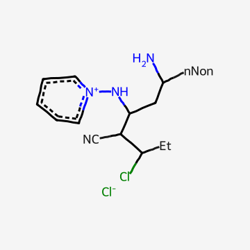 CCCCCCCCCC(N)CC(N[n+]1ccccc1)C(C#N)C(Cl)CC.[Cl-]